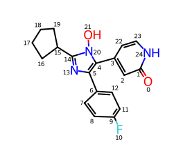 O=c1cc(-c2c(-c3ccc(F)cc3)nc(C3CCCC3)n2O)cc[nH]1